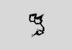 Brc1ccc(Cc2ccc3ccccc3c2)s1